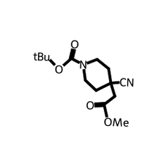 COC(=O)CC1(C#N)CCN(C(=O)OC(C)(C)C)CC1